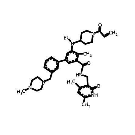 C=CC(=O)N1CCC(N(CC)c2cc(-c3cccc(CN4CCN(C)CC4)c3)cc(C(=O)NCc3c(C)cc(C)[nH]c3=O)c2C)CC1